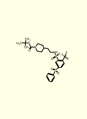 CC(C)(C)OC(=O)N1CCC(CCNS(=O)(=O)c2cc(S(=O)(=O)c3ccccc3)ccc2C(F)(F)F)CC1